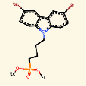 CCOP(=O)(CCCCn1c2ccc(Br)cc2c2cc(Br)ccc21)OCC